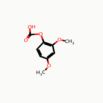 COc1ccc(OC(=O)O)c(OC)c1